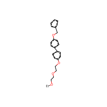 CCOCCOCCOc1ccc(-c2ccc(OCc3ccccc3)cc2)cc1